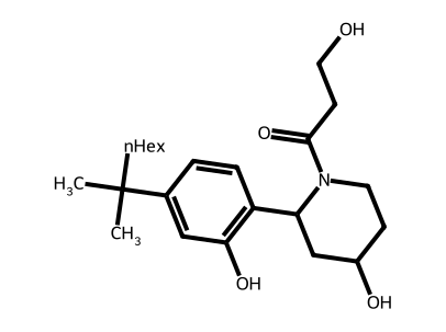 CCCCCCC(C)(C)c1ccc(C2CC(O)CCN2C(=O)CCO)c(O)c1